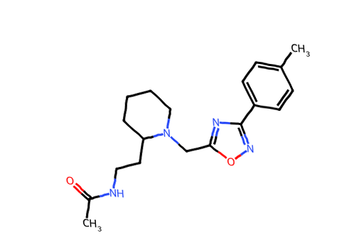 CC(=O)NCCC1CCCCN1Cc1nc(-c2ccc(C)cc2)no1